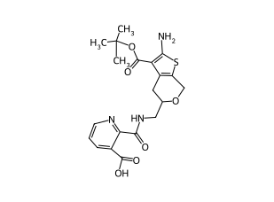 CC(C)(C)OC(=O)c1c(N)sc2c1CC(CNC(=O)c1ncccc1C(=O)O)OC2